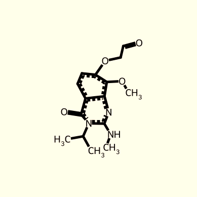 CNc1nc2c(OC)c(OCC=O)ccc2c(=O)n1C(C)C